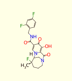 C[C@]1(F)CCCN2C[C@@H]1n1cc(C(=O)NCc3ccc(F)cc3F)c(=O)c(O)c1C2=O